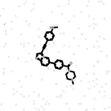 CNc1ccc(C#Cc2cnc3ccc(-c4ccc(C(=O)N5CCN(C)CC5)cc4)cn23)cc1